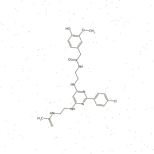 COc1cc(CC(=O)NCCNc2cc(NCCNC(C)=O)nc(-c3ccc(Cl)cc3)n2)ccc1O